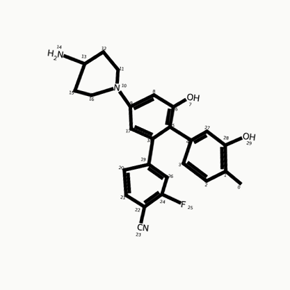 Cc1ccc(-c2c(O)cc(N3CCC(N)CC3)cc2-c2ccc(C#N)c(F)c2)cc1O